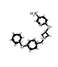 Bc1ccc(OC2CN(Cc3ccc(Oc4ccccc4)cc3)C2)nc1